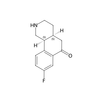 O=C1C[C@@H]2CCNC[C@@H]2c2ccc(F)cc21